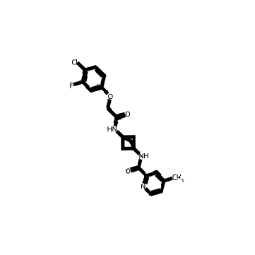 Cc1ccnc(C(=O)NC23CC(NC(=O)COc4ccc(Cl)c(F)c4)(C2)C3)c1